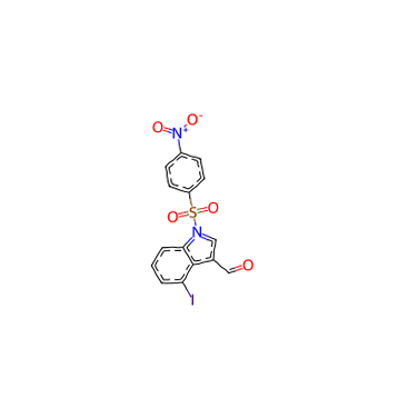 O=Cc1cn(S(=O)(=O)c2ccc([N+](=O)[O-])cc2)c2cccc(I)c12